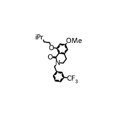 COc1cc2c(c(OCCC(C)C)c1)C(=O)N(Cc1cccc(C(F)(F)F)c1)CC2